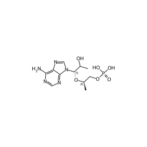 CC(O)[C@H](O[C@H](C)COP(=O)(O)O)n1cnc2c(N)ncnc21